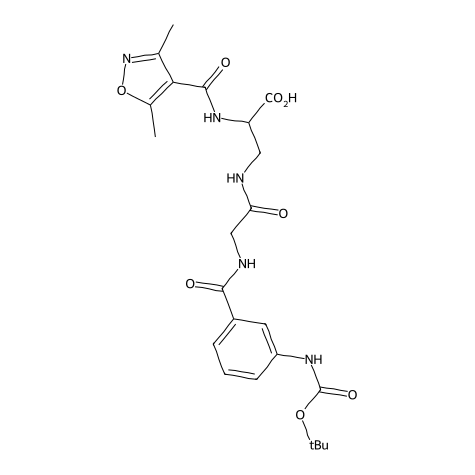 Cc1noc(C)c1C(=O)NC(CNC(=O)CNC(=O)c1cccc(NC(=O)OC(C)(C)C)c1)C(=O)O